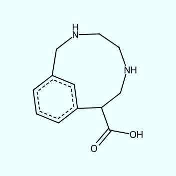 O=C(O)C1CNCCNCc2cccc1c2